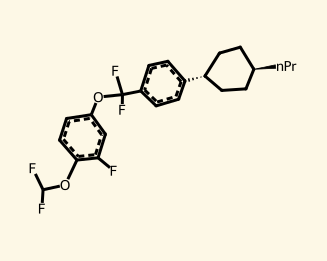 CCC[C@H]1CC[C@H](c2ccc(C(F)(F)Oc3ccc(OC(F)F)c(F)c3)cc2)CC1